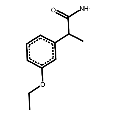 CCOc1cccc(C(C)C([NH])=O)c1